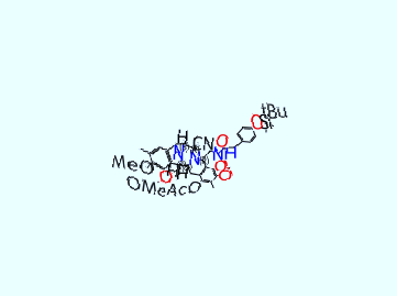 COCOc1c(OC)c(C)cc2c1[C@@H]1[C@@H]3Cc4c(OC(C)=O)c(C)c5c(c4[C@H](CNC(=O)Cc4ccc(O[Si](C)(C)C(C)(C)C)cc4)N3[C@@H](C#N)[C@H](C2)N1C)OCO5